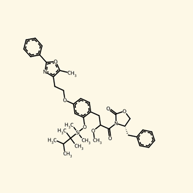 COC(Cc1ccc(OCCc2nc(-c3ccccc3)oc2C)cc1O[Si](C)(C)C(C)(C)C(C)C)C(=O)N1C(=O)OC[C@@H]1Cc1ccccc1